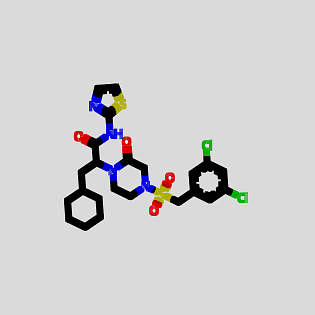 O=C(Nc1nccs1)C(CC1CCCCC1)N1CCN(S(=O)(=O)Cc2cc(Cl)cc(Cl)c2)CC1=O